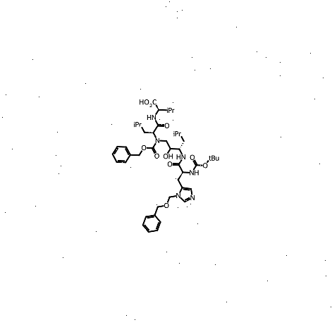 CC(C)C[C@H](NC(=O)[C@H](Cc1cncn1COCc1ccccc1)NC(=O)OC(C)(C)C)C(O)CN(C(=O)OCc1ccccc1)[C@@H](CC(C)C)C(=O)N[C@@H](C(=O)O)C(C)C